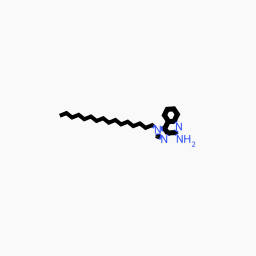 CCCCCCCCCCCCCCCCn1cnc2c(N)nc3ccccc3c21